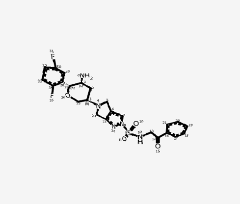 N[C@H]1C[C@@H](N2Cc3cn(S(=O)(=O)NCC(=O)c4ccccc4)nc3C2)CO[C@@H]1c1cc(F)ccc1F